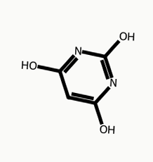 Oc1cc(O)nc(O)n1